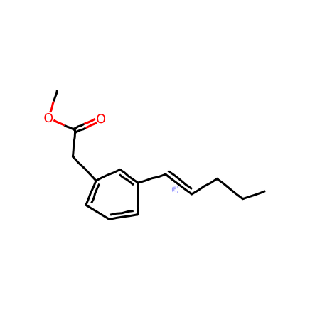 CCC/C=C/c1cccc(CC(=O)OC)c1